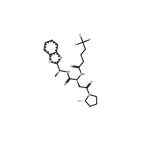 C[C@H](NC(=O)[C@H](CC(=O)N1CCC[C@@H]1C)NC(=O)CCCC(F)(F)F)c1nc2ccccc2o1